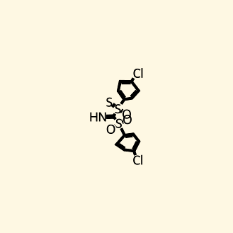 N=C(S(=O)(=O)c1ccc(Cl)cc1)S(=O)(=S)c1ccc(Cl)cc1